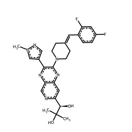 Cn1cc(-c2nc3cnc([C@@H](O)C(C)(C)O)cc3nc2N2CCC(=Cc3ccc(F)cc3F)CC2)cn1